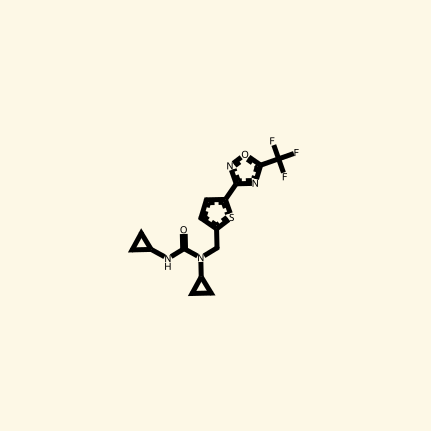 O=C(NC1CC1)N(Cc1ccc(-c2noc(C(F)(F)F)n2)s1)C1CC1